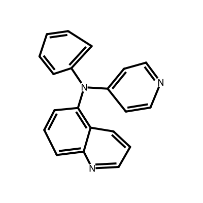 c1ccc(N(c2ccncc2)c2cccc3ncccc23)cc1